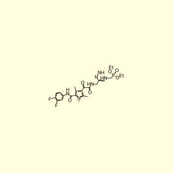 CCOP(=O)(CN/C=C(/CNC(=O)C(=O)c1c(C)c(C(=O)Nc2ccc(F)c(F)c2)n(C)c1C)N=N)OCC